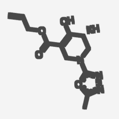 C=CCOC(=O)C1=C(O)CCN(c2nnc(C)o2)C1.[KH]